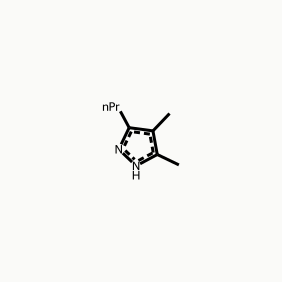 CCCc1n[nH]c(C)c1C